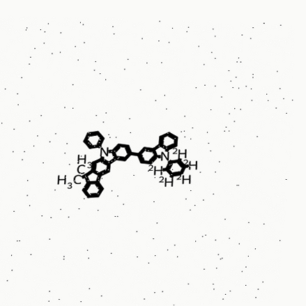 [2H]c1c([2H])c([2H])c(-n2c3ccccc3c3cc(-c4ccc5c(c4)c4cc6c(cc4n5-c4ccccc4)C(C)(C)c4ccccc4-6)ccc32)c([2H])c1[2H]